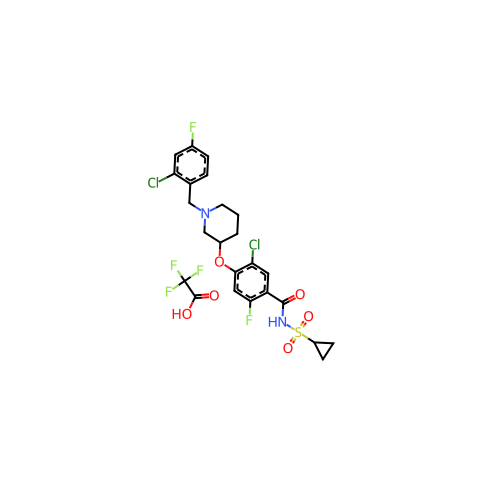 O=C(NS(=O)(=O)C1CC1)c1cc(Cl)c(OC2CCCN(Cc3ccc(F)cc3Cl)C2)cc1F.O=C(O)C(F)(F)F